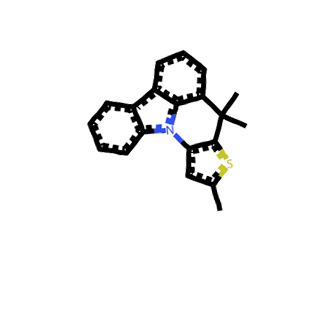 Cc1cc2c(s1)C(C)(C)c1cccc3c4ccccc4n-2c13